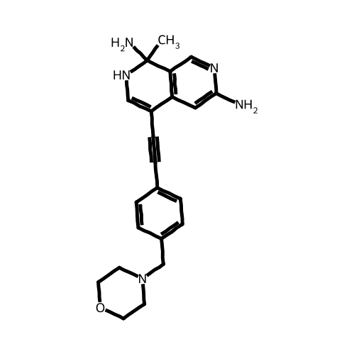 CC1(N)NC=C(C#Cc2ccc(CN3CCOCC3)cc2)c2cc(N)ncc21